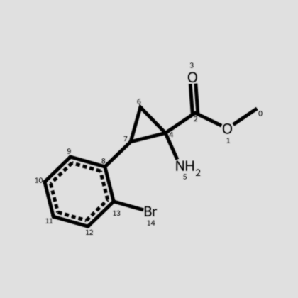 COC(=O)C1(N)CC1c1ccccc1Br